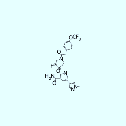 Cn1cc(-c2cnc(O[C@H]3CCN(C(=O)Cc4ccc(OC(F)(F)F)cc4)C[C@@H]3F)c(C(N)=O)c2)cn1